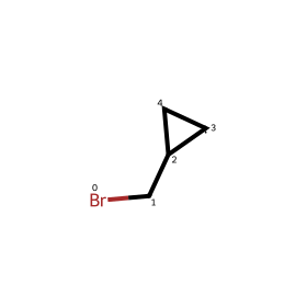 BrCC1[CH]C1